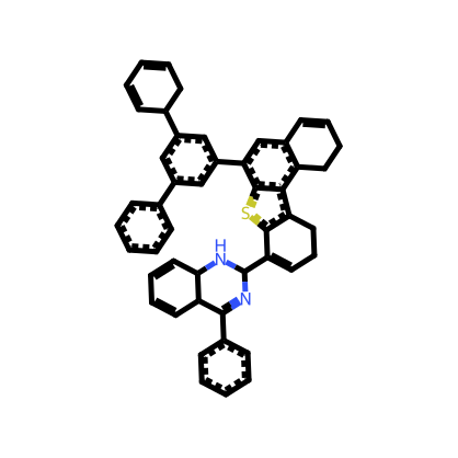 C1=CCC(c2cc(-c3ccccc3)cc(-c3cc4c(c5c6c(sc35)C(C3N=C(c5ccccc5)C5C=CC=CC5N3)=CCC6)CCC=C4)c2)C=C1